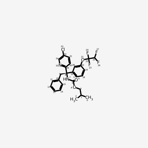 CC(C)COC(=O)N[C@@](Cc1ccccc1)(c1cccc(OC(F)(F)C(F)F)c1)c1ccc(Cl)cn1